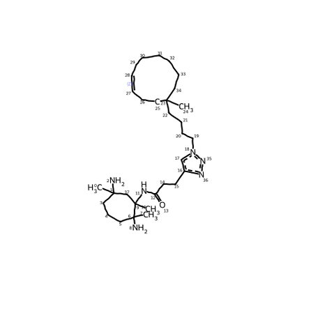 CC1(N)CCCC(C)(N)C(C)(NC(=O)CCc2cn(CCCCC3(C)CC/C=C\CCCCCC3)nn2)C1